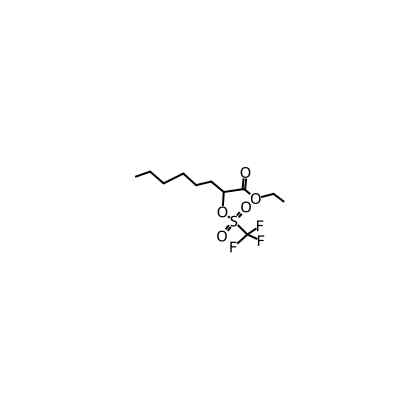 CCCCCCC(OS(=O)(=O)C(F)(F)F)C(=O)OCC